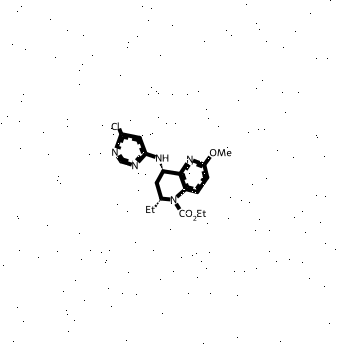 CCOC(=O)N1c2ccc(OC)nc2[C@@H](Nc2cc(Cl)ncn2)C[C@H]1CC